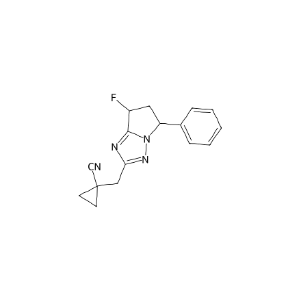 N#CC1(Cc2nc3n(n2)C(c2ccccc2)CC3F)CC1